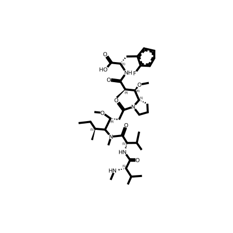 CC[C@H](C)C([C@@H](CC(=O)N1CCC[C@H]1[C@H](OC)[C@@H](C)C(=O)N[C@@H](Cc1ccccc1F)C(=O)O)OC)N(C)C(=O)[C@@H](NC(=O)[C@@H](NC)C(C)C)C(C)C